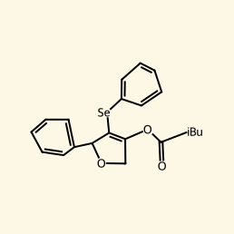 CCC(C)C(=O)OC1=C([Se]c2ccccc2)C(c2ccccc2)OC1